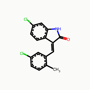 Cc1ccc(Cl)cc1C=C1C(=O)Nc2cc(Cl)ccc21